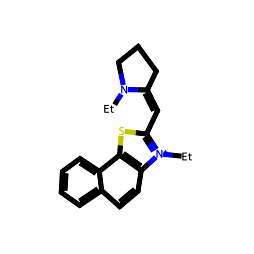 CCN1CCCC1=Cc1sc2c3ccccc3ccc2[n+]1CC